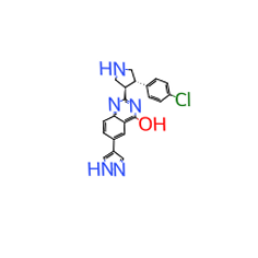 Oc1nc([C@H]2CNC[C@@H]2c2ccc(Cl)cc2)nc2ccc(-c3cn[nH]c3)cc12